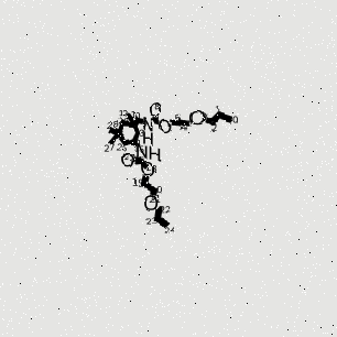 C=CCOCCOC(=O)NCC1(C)CC(NC(=O)OCCOCC=C)CC(C)(C)C1